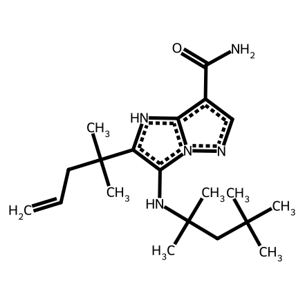 C=CCC(C)(C)c1[nH]c2c(C(N)=O)cnn2c1NC(C)(C)CC(C)(C)C